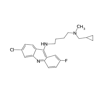 CN(CCCCNc1c2ccc(Cl)cc2nc2ccc(F)cc12)CC1CC1